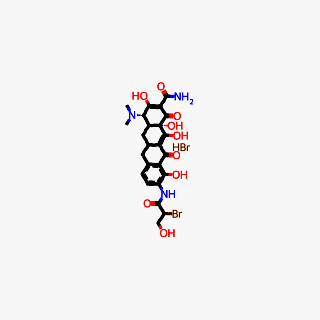 Br.CN(C)[C@@H]1C(O)=C(C(N)=O)C(=O)[C@@]2(O)C(O)=C3C(=O)c4c(ccc(NC(=O)C(Br)CO)c4O)CC3CC12